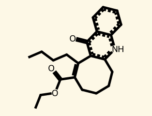 CCCCC1=C(C(=O)OCC)CCCCc2[nH]c3ccccc3c(=O)c21